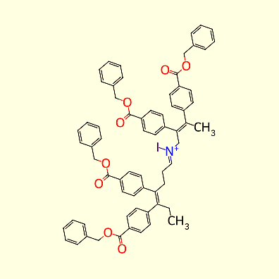 CC/C(=C(\CC/C=[N+](\I)C/C(=C(\C)c1ccc(C(=O)OCc2ccccc2)cc1)c1ccc(C(=O)OCc2ccccc2)cc1)c1ccc(C(=O)OCc2ccccc2)cc1)c1ccc(C(=O)OCc2ccccc2)cc1